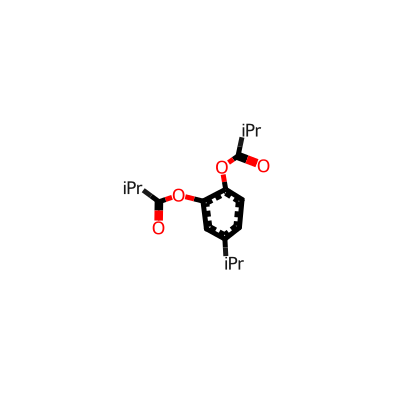 CC(C)C(=O)Oc1ccc(C(C)C)cc1OC(=O)C(C)C